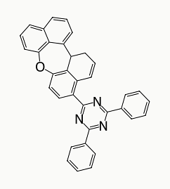 C1=Cc2c(-c3nc(-c4ccccc4)nc(-c4ccccc4)n3)ccc3c2C(C1)c1cccc2cccc(c12)O3